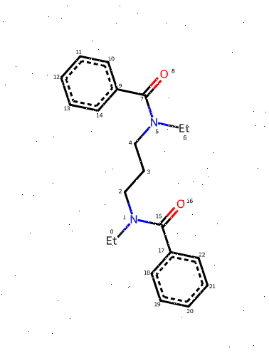 CCN(CCCN(CC)C(=O)c1ccccc1)C(=O)c1ccccc1